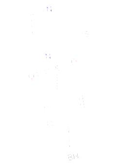 Bc1ccc(S(=O)(=O)N2CCN=C2SC)cc1